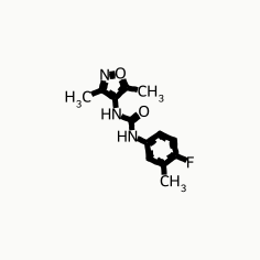 Cc1cc(NC(=O)Nc2c(C)noc2C)ccc1F